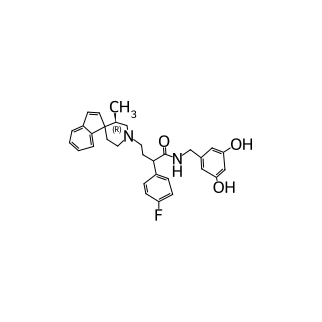 C[C@H]1CN(CCC(C(=O)NCc2cc(O)cc(O)c2)c2ccc(F)cc2)CCC12C=Cc1ccccc12